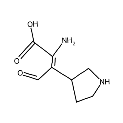 NC(C(=O)O)=C(C=O)C1CCNC1